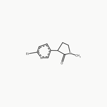 CCc1ccc(C2CCN(C)C2=O)cn1